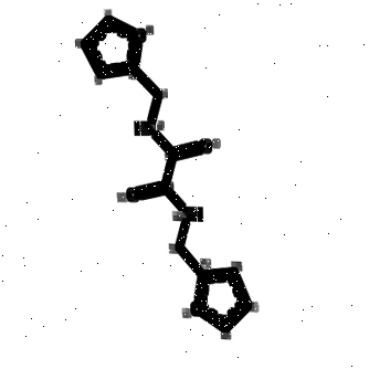 O=C(NCc1ccco1)C(=O)NCc1ccco1